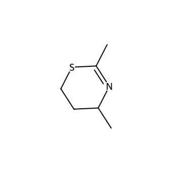 CC1=NC(C)CCS1